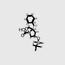 CC(C)(C)[Si](C)(C)O[C@H]1CN(C(=O)O)[C@](C=O)(Cc2ccccc2)C1